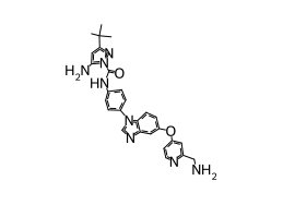 CC(C)(C)c1cc(N)n(C(=O)Nc2ccc(-n3cnc4cc(Oc5ccnc(CN)c5)ccc43)cc2)n1